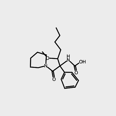 CCCCC(OC)C(NC(=O)O)(C(=O)N1CCCCC1)c1ccccc1